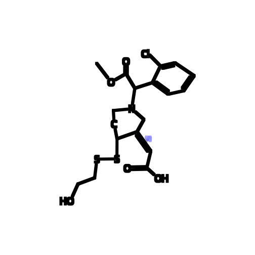 COC(=O)C(c1ccccc1Cl)N1CCC(SSCCO)/C(=C\C(=O)O)C1